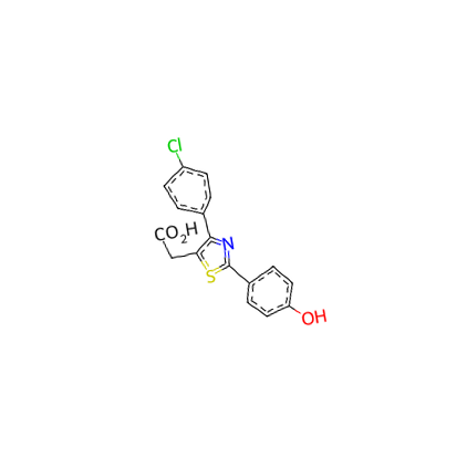 O=C(O)Cc1sc(-c2ccc(O)cc2)nc1-c1ccc(Cl)cc1